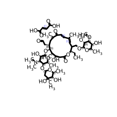 CC[C@H]1OC(=O)C[C@@H](O)[C@H](C)[C@@H](O[C@@H]2O[C@H](C)[C@@H](O[C@H]3C[C@@](C)(O)[C@@H](O)[C@H](C)O3)[C@H](N(C)C)[C@H]2O)[C@@H](CC=O)C[C@@H](C)C(=O)/C=C/C(C)=C/C1CO[C@@H]1O[C@H](C)[C@@H](O)[C@@H](OC)[C@H]1OC.O=C(O)/C=C/C(=O)O